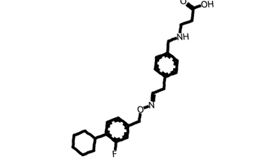 O=C(O)CCNCc1ccc(CC=NOCc2ccc(C3CCCCC3)c(F)c2)cc1